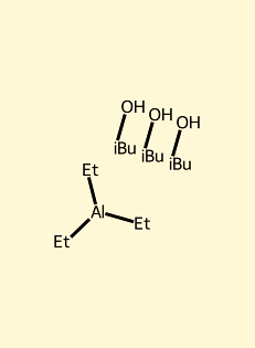 CCC(C)O.CCC(C)O.CCC(C)O.C[CH2][Al]([CH2]C)[CH2]C